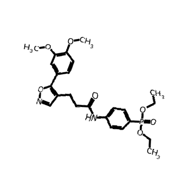 CCOP(=O)(OCC)c1ccc(NC(=O)CCc2cnoc2-c2ccc(OC)c(OC)c2)cc1